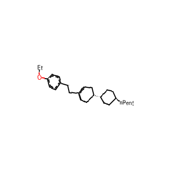 CCCCC[C@H]1CC[C@H](C2CC=C(CCc3ccc(OCC)cc3)CC2)CC1